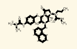 CCCN(C(=O)NC)N1CC(=O)N2[C@@H](Cc3ccc(OC(=O)N(C)C)cc3)C(=O)N(Cc3cccc4ccccc34)C[C@@H]21